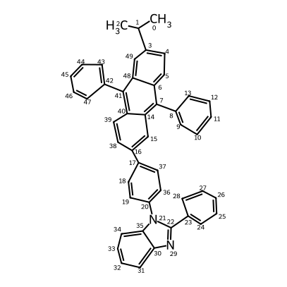 CC(C)c1ccc2c(-c3ccccc3)c3cc(-c4ccc(-n5c(-c6ccccc6)nc6ccccc65)cc4)ccc3c(-c3ccccc3)c2c1